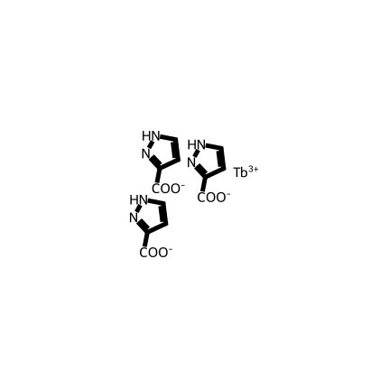 O=C([O-])c1cc[nH]n1.O=C([O-])c1cc[nH]n1.O=C([O-])c1cc[nH]n1.[Tb+3]